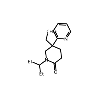 CCC(CC)N1CC(CC=O)(c2ccccn2)CCC1=O